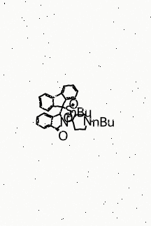 CCCCN1CCC(N2C(=O)c3ccccc3C2C2(S(=O)(=O)CCCC)c3ccccc3-c3ccccc32)CC1